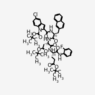 CC(C)(C)OC(=O)CC[C@H](NC(=O)[C@H](CC(=O)OC(C)(C)C)NC(=O)[C@H](Cc1ccc2ccccc2c1)NC(=O)c1cc2cc(Cl)ccc2n1C(=O)OC(C)(C)C)C(=O)Nc1ccccc1F